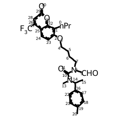 CCCc1c(OCCCCN(C=O)C(=O)N(C)C(C)c2ccc(C)cc2)ccc2c(C(F)(F)F)cc(=O)oc12